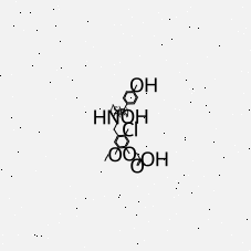 CCOc1cc(CCN[C@@H](C)[C@H](O)c2ccc(O)cc2)c(Cl)cc1OCC(=O)O